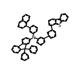 c1ccc(C2(c3ccccc3)c3ccccc3-c3ccc(N(c4cccc(-c5cccc(-c6cccc7c6sc6ccccc67)c5)c4)c4cccc(-c5cccc6ccccc56)c4)cc32)cc1